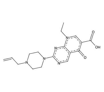 C=CCN1CCN(c2ncc3c(=O)c(C(=O)O)cn(CC)c3n2)CC1